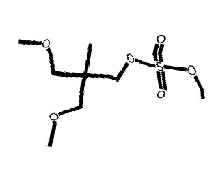 COCC(C)(COC)COS(=O)(=O)OC